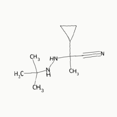 CC(C)(C)NNC(C)(C#N)C1CC1